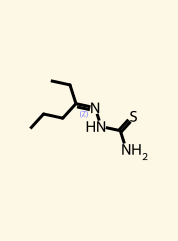 CCC/C(CC)=N\NC(N)=S